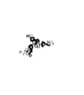 CC1(C)OC(=O)c2cc3cc(NC(=O)C4C(C5CCCCC5)CCN4C(=O)[C@H]4CC[C@H]([C@H](N)CF)CC4)ccc3n21.Cl